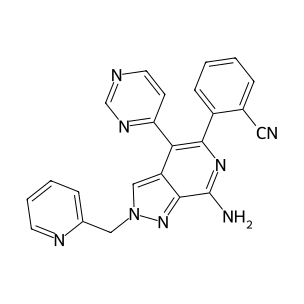 N#Cc1ccccc1-c1nc(N)c2nn(Cc3ccccn3)cc2c1-c1ccncn1